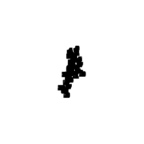 CCN(CC)c1ccc2c(C)cc(N(C)CCCN(C)C)[o+]c2c1